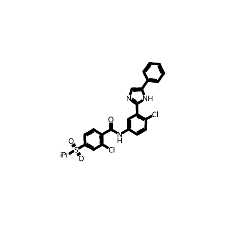 CC(C)S(=O)(=O)c1ccc(C(=O)Nc2ccc(Cl)c(-c3ncc(-c4ccccc4)[nH]3)c2)c(Cl)c1